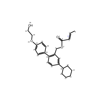 C/C=C/C(=O)OCc1cc(C2CCCCC2)ccc1-c1ccc(OCCO)cc1